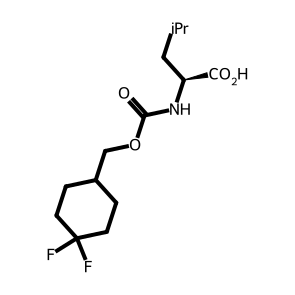 CC(C)C[C@H](NC(=O)OCC1CCC(F)(F)CC1)C(=O)O